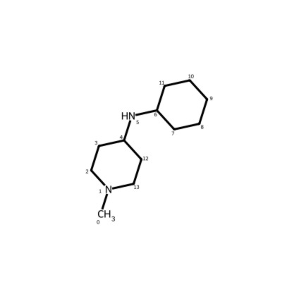 CN1CCC(NC2CCCCC2)CC1